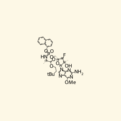 COc1nc(N)nc2c1ncn2[C@@H]1O[C@H](COP(=O)(N[C@@H](C)C(=O)OCCC(C)(C)C)Oc2cccc3ccccc23)[C@@H](F)[C@@]1(C)O